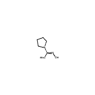 CO/C(=N\C#N)N1CCCC1